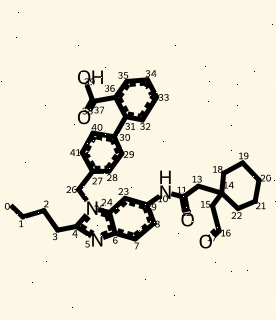 CCCCc1nc2ccc(NC(=O)CC3(CC=O)CCCCC3)cc2n1Cc1ccc(-c2ccccc2C(=O)O)cc1